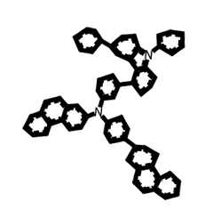 c1ccc(-c2ccc3c(c2)c2c(-c4cccc(N(c5ccc(-c6ccc7c(ccc8ccccc87)c6)cc5)c5ccc6c(ccc7ccccc76)c5)c4)cccc2n3-c2ccccc2)cc1